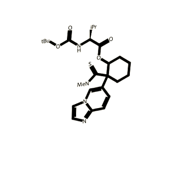 CNC(=S)C1(c2ccc3nccn3c2)CCCCC1OC(=O)[C@@H](NC(=O)OC(C)(C)C)C(C)C